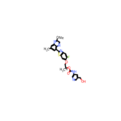 COc1cnc2c(-c3nc4cc(F)c(OC[C@@H](C)OC(=O)Nc5cncc(CO)c5)cc4s3)cc(C)cc2n1